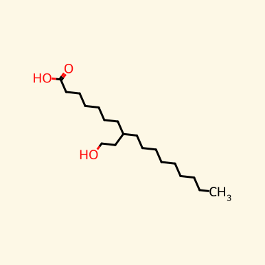 CCCCCCCCCC(CCO)CCCCCCC(=O)O